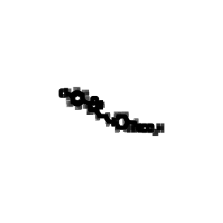 O=C(O)NCC1CCN(CCCc2cc(-c3ccc(Cl)cc3)on2)CC1